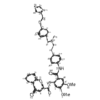 COc1cc(NC(=O)c2cc(=O)c3ccccc3o2)c(C(=O)Nc2ccc(CCN(C)Cc3ccc(OCc4cscn4)cc3)cc2)cc1OC